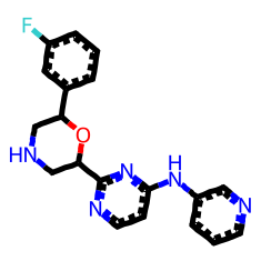 Fc1cccc(C2CNCC(c3nccc(Nc4cccnc4)n3)O2)c1